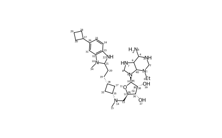 CCN1CNC(N)C2NCN([C@@H]3O[C@H](CN(C)[C@H]4C[C@@H](CCC5Nc6ccc(C7CCC7)cc6N5C)C4)[C@@H](O)[C@H]3O)C21